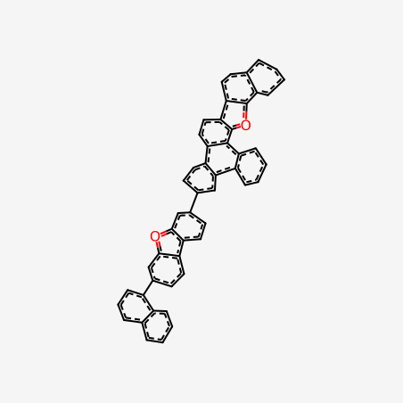 c1ccc2c(-c3ccc4c(c3)oc3cc(-c5ccc6c(c5)c5ccccc5c5c6ccc6c7ccc8ccccc8c7oc65)ccc34)cccc2c1